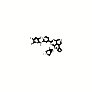 Fc1cc(F)c(Nc2cc(-c3nc(N[C@@H]4C5CNC[C@@H]54)c4c(C5CCC5)cncc4n3)ccn2)nc1F